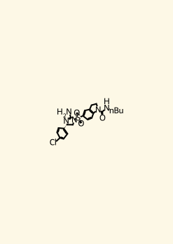 CCCCNC(=O)N1CCc2cc(S(=O)(=O)N3C[C@H](c4ccc(Cl)cc4)N=C3N)ccc21